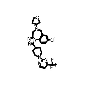 FC(F)(F)c1ccnc(N2CCC(c3nnc4n3-c3ccc(Cl)cc3CN([C@H]3CCOC3)C4)CC2)n1